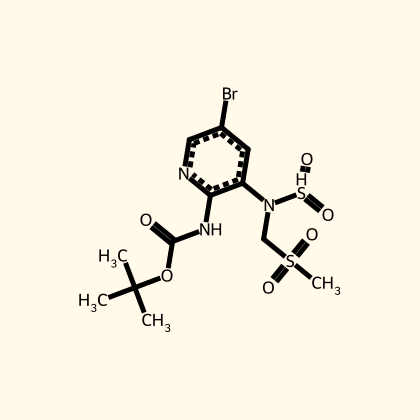 CC(C)(C)OC(=O)Nc1ncc(Br)cc1N(CS(C)(=O)=O)[SH](=O)=O